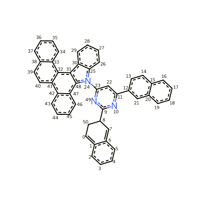 C1=c2ccccc2=CC(c2nc(-c3ccc4ccccc4c3)cc(-n3c4ccccc4c4c5c6ccccc6ccc5c5ccccc5c43)n2)C1